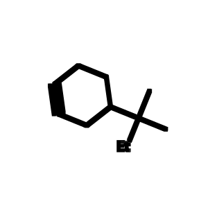 CCC(C)(C)C1CC#CCC1